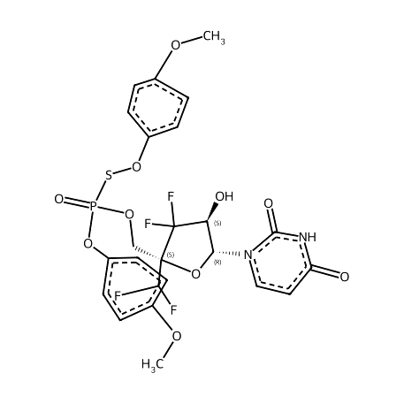 COc1ccc(OSP(=O)(OC[C@@]2(C(F)F)O[C@@H](n3ccc(=O)[nH]c3=O)[C@H](O)C2(F)F)Oc2ccc(OC)cc2)cc1